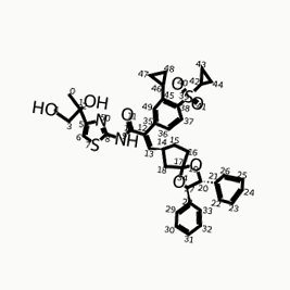 CC(O)(CO)c1csc(NC(=O)/C(=C/[C@H]2CCC3(C2)O[C@H](c2ccccc2)[C@@H](c2ccccc2)O3)c2ccc(S(=O)(=O)C3CC3)c(C3CC3)c2)n1